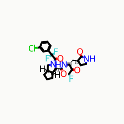 O=C1NCC[C@H]1C[C@@H](NC(=O)[C@H]1[C@H]2CCC[C@H]2CN1C(=O)C(F)(F)c1cccc(Cl)c1)C(=O)CF